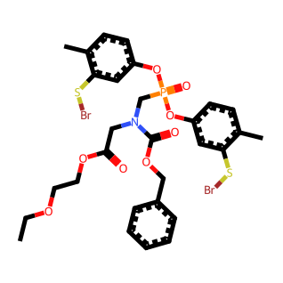 CCOCCOC(=O)CN(CP(=O)(Oc1ccc(C)c(SBr)c1)Oc1ccc(C)c(SBr)c1)C(=O)OCc1ccccc1